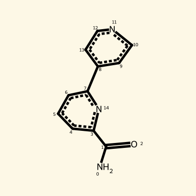 NC(=O)c1cccc(-c2ccncc2)n1